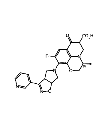 C[C@H]1COc2c(N3CC4ON=C(c5cccnc5)C4C3)c(F)cc3c2N1CC(C(=O)O)C3=O